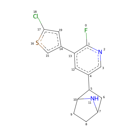 Fc1ncc(C2CC3CCC2N3)cc1-c1csc(Cl)c1